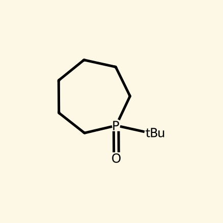 CC(C)(C)P1(=O)CCCCCC1